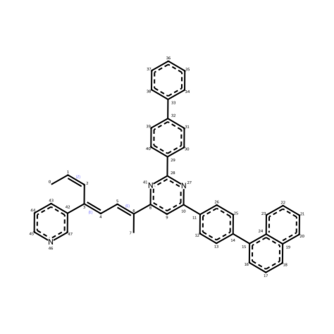 C\C=C/C(=C\C=C(/C)c1cc(-c2ccc(-c3cccc4ccccc34)cc2)nc(-c2ccc(-c3ccccc3)cc2)n1)c1cccnc1